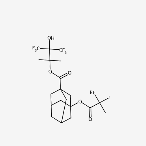 CCC(C)(I)C(=O)OC12CC3CC(C1)CC(C(=O)OC(C)(C)C(O)(C(F)(F)F)C(F)(F)F)(C3)C2